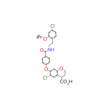 CC(C)Oc1cc(Cl)ccc1CCNC(=O)c1ccc(Oc2cc3c(cc2Cl)C(C(=O)O)CCO3)cc1